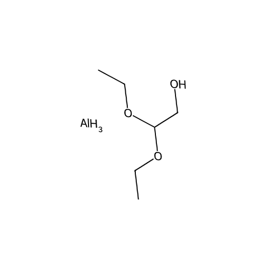 CCOC(CO)OCC.[AlH3]